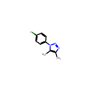 Cc1nnn(-c2ccc(Cl)cc2)c1C